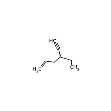 C#C[C](CC)CC=C